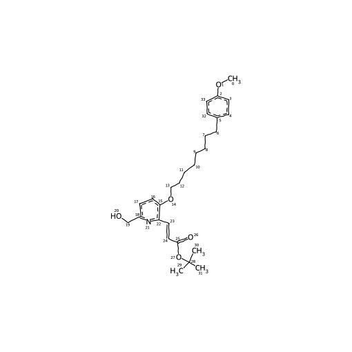 COc1ccc(CCCCCCCCOc2ccc(CO)nc2C=CC(=O)OC(C)(C)C)cc1